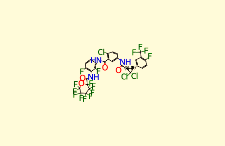 O=C(Nc1ccc(F)c(NC(=O)C2(F)OC(F)(F)C(F)(F)C(F)(F)C2(F)F)c1F)c1cc(NC(=O)[C@H]2[C@H](c3ccc(F)c(C(F)(F)F)c3)C2(Cl)Cl)ccc1Cl